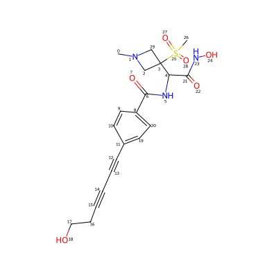 CN1CC(C(NC(=O)c2ccc(C#CC#CCCO)cc2)C(=O)NO)(S(C)(=O)=O)C1